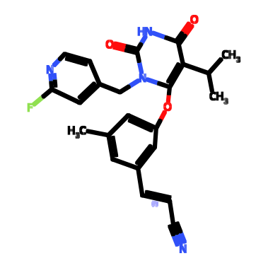 Cc1cc(/C=C/C#N)cc(Oc2c(C(C)C)c(=O)[nH]c(=O)n2Cc2ccnc(F)c2)c1